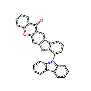 O=c1c2ccccc2oc2cc3sc4c(-n5c6ccccc6c6ccccc65)cccc4c3cc12